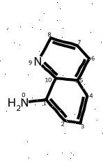 Nc1cc[c]c2cccnc12